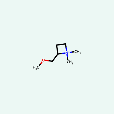 COCC1CC[N+]1(C)C